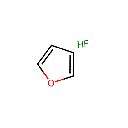 F.c1ccoc1